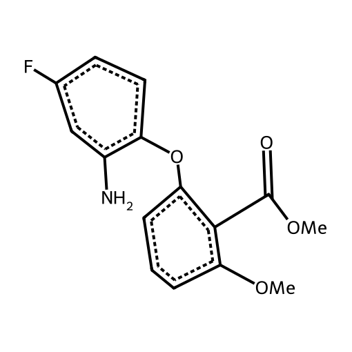 COC(=O)c1c(OC)cccc1Oc1ccc(F)cc1N